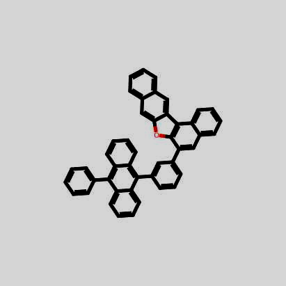 c1ccc(-c2c3ccccc3c(-c3cccc(-c4cc5ccccc5c5c4oc4cc6ccccc6cc45)c3)c3ccccc23)cc1